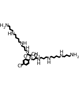 C[C@H](C(=O)NCCCNCCCCNCCCN)N(CC(=O)NCCCNCCCCNCCCN)c1ccc(Cl)cc1